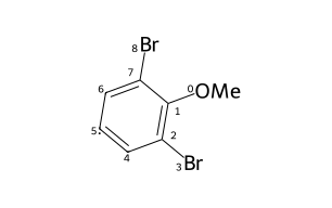 COc1c(Br)c[c]cc1Br